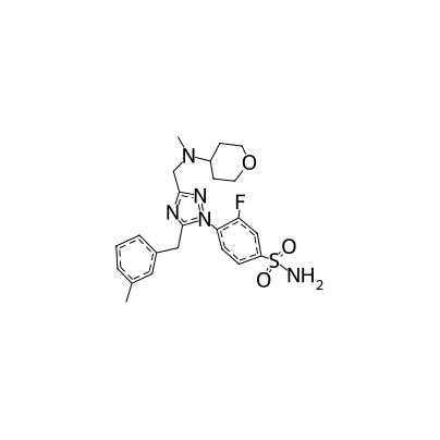 Cc1cccc(Cc2nc(CN(C)C3CCOCC3)nn2-c2ccc(S(N)(=O)=O)cc2F)c1